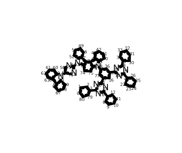 c1ccc(-c2nc(-c3ccccc3)nc(-c3cc(-c4nc(-c5ccccc5)nc(-c5ccccc5)n4)cc(-n4c5ccccc5c5c6c7ccccc7n(-c7ncc(-n8c9ccccc9c9ccccc98)cn7)c6ccc54)c3)n2)cc1